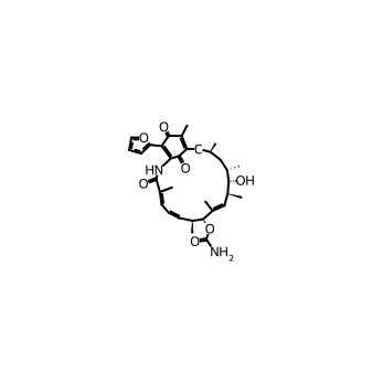 CC1=C2C[C@@H](C)C[C@H](C)[C@H](O)[C@@H](C)/C=C(\C)[C@H](OC(N)=O)[C@@H](C)/C=C\C=C(/C)C(=O)NC(=C(c3ccco3)C1=O)C2=O